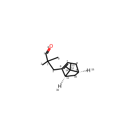 CC(C)(C=O)CC1=CC[C@H]2C[C@@H]1C2(C)C